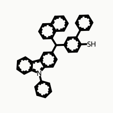 Sc1ccc(C(c2ccc3c(c2)c2ccccc2n3-c2ccccc2)c2cccc3ccccc23)cc1-c1ccccc1